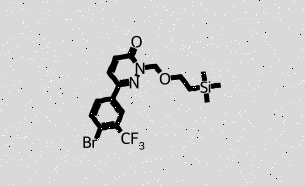 C[Si](C)(C)CCOCn1nc(-c2ccc(Br)c(C(F)(F)F)c2)ccc1=O